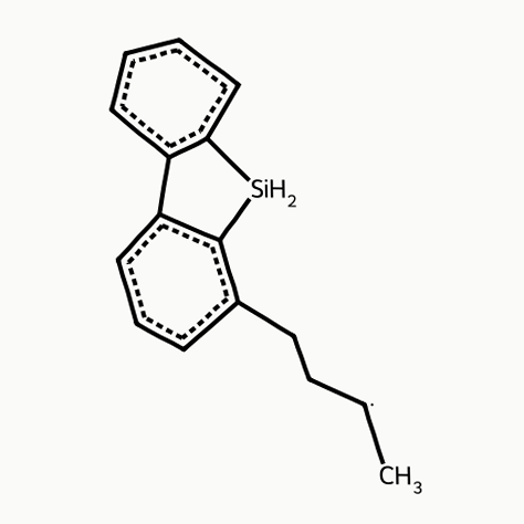 C[CH]CCc1cccc2c1[SiH2]c1ccccc1-2